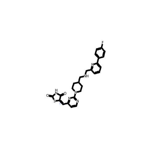 O=C1NC(=O)/C(=C\c2ccnc(N3CCC(CNCc4cccc(-c5ccc(F)cc5)n4)CC3)n2)S1